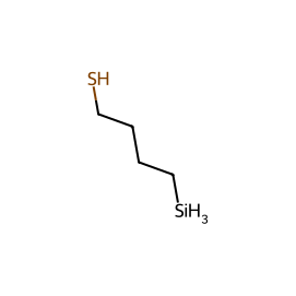 [SiH3]CCCCS